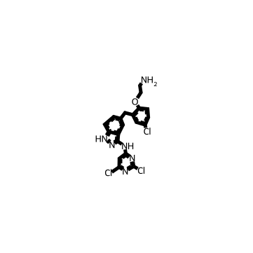 NCCOc1ccc(Cl)cc1Cc1ccc2[nH]nc(Nc3cc(Cl)nc(Cl)n3)c2c1